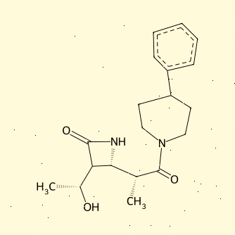 C[C@@H](O)C1C(=O)N[C@@H]1[C@@H](C)C(=O)N1CCC(c2ccccc2)CC1